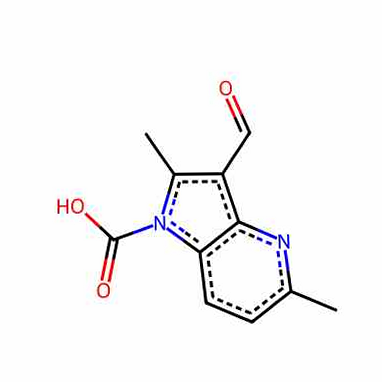 Cc1ccc2c(n1)c(C=O)c(C)n2C(=O)O